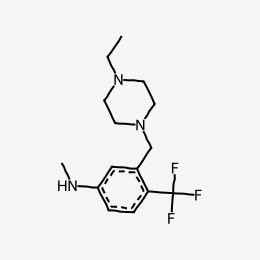 CCN1CCN(Cc2cc(NC)ccc2C(F)(F)F)CC1